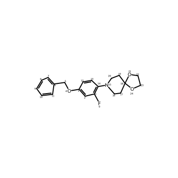 Fc1cc(OCc2ccccc2)ccc1N1CCC2(CC1)OCCO2